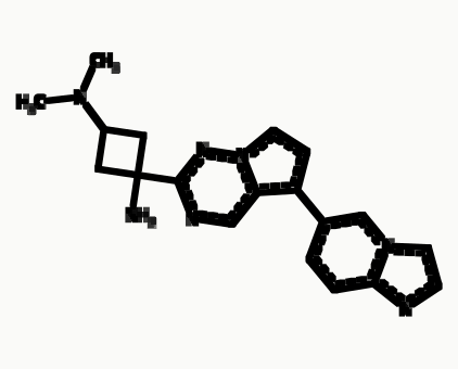 CN(C)C1CC(N)(c2ncc3c(-c4ccc5nccn5c4)ccn3n2)C1